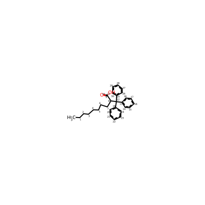 CCCCCCCCC(C(=O)O)C(c1ccccc1)(c1ccccc1)c1ccccc1